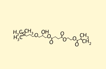 C=C(C)C(=O)OCCOC(=O)CCC(=O)OCC(O)COCCC[Si](C)(C)C